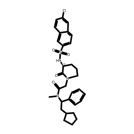 CN(C(=O)CN1CCC[C@H](NS(=O)(=O)c2ccc3cc(Cl)ccc3c2)C1=O)C(CC1CCCC1)c1ccccc1